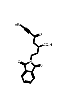 CCCCC#CC(=O)CC(CCN1C(=O)c2ccccc2C1=O)C(=O)O